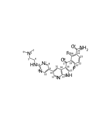 CN(C)CCNc1ncc(-c2cnc3[nH]cc(C(=O)c4c(F)ccc(C(N)=O)c4F)c3c2)cn1